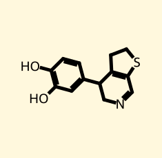 Oc1ccc(C2CN=CC3=C2CCS3)cc1O